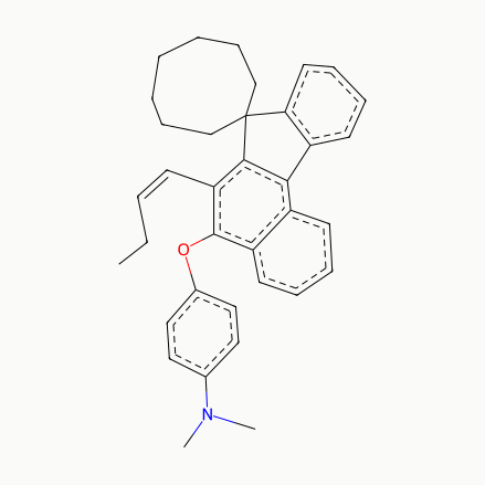 CC/C=C\c1c2c(c3ccccc3c1Oc1ccc(N(C)C)cc1)-c1ccccc1C21CCCCCCC1